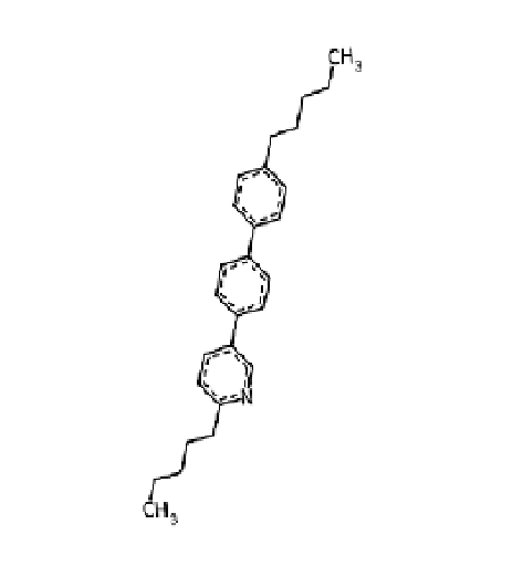 CCCCCc1ccc(-c2ccc(-c3ccc(CCCCC)nc3)cc2)cc1